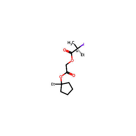 CCC1(OC(=O)COC(=O)[C@@](C)(I)CC)CCCC1